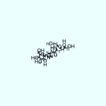 CCCCCCCCCCC(=O)N[C@H](CSC[C@H](O)CO)C(=O)Nc1cn([C@H]2OC(CO)C(O)C(O)C2O)nn1